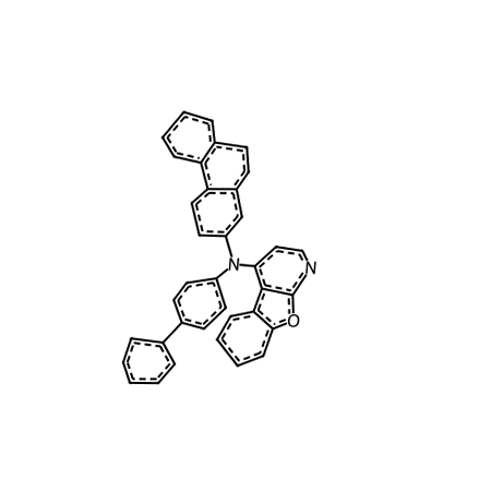 c1ccc(-c2ccc(N(c3ccc4c(ccc5ccccc54)c3)c3ccnc4oc5ccccc5c34)cc2)cc1